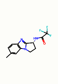 Cc1ccc2nc3n(c2c1)CC[C@H]3NC(=O)C(F)(F)F